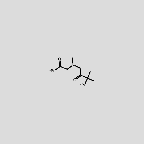 CCCC(C)(C)C(=O)CN(C)CC(=O)C(C)(C)C